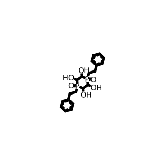 O=P1(CCc2ccccc2)C(O)C(O)P(=O)(CCc2ccccc2)C(O)C1O